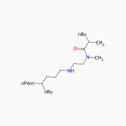 CCCCCC(CCCC)CCCNCCN(C)C(=O)C(C)CCCC